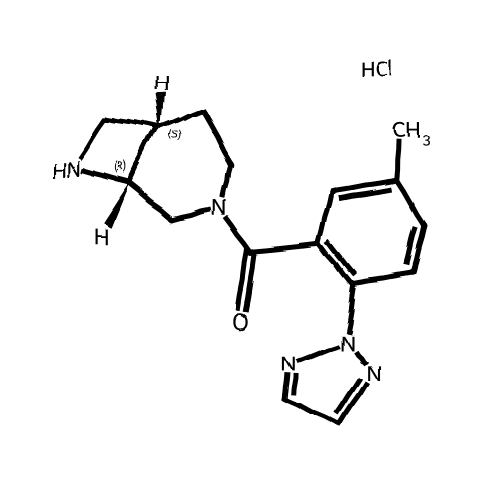 Cc1ccc(-n2nccn2)c(C(=O)N2CC[C@H]3CN[C@H]3C2)c1.Cl